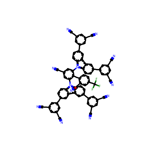 N#Cc1cc(C#N)cc(-c2ccc3c(c2)c2cc(-c4cc(C#N)cc(C#N)c4)ccc2n3-c2cc(C#N)cc(-n3c4ccc(-c5cc(C#N)cc(C#N)c5)cc4c4cc(-c5cc(C#N)cc(C#N)c5)ccc43)c2-c2ccc(C(F)(F)F)cc2C#N)c1